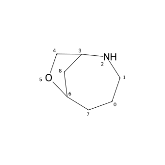 C1CNC2COC(C1)C2